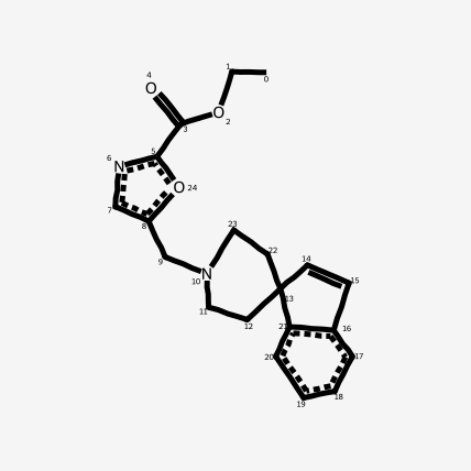 CCOC(=O)c1ncc(CN2CCC3(C=Cc4ccccc43)CC2)o1